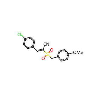 COc1ccc(CS(=O)(=O)C(C#N)=Cc2ccc(Cl)cc2)cc1